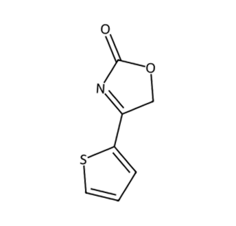 O=C1N=C(c2cccs2)CO1